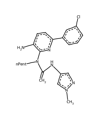 C=C(Nc1cnn(C)c1)N(CCCCC)c1nc(-c2cccc(Cl)c2)ccc1N